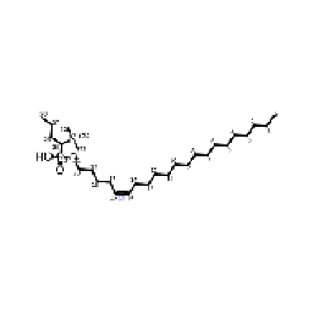 CCCCCCCCCCCCCCC/C=C\CCCCOP(=O)(O)C(CCC)[N+](C)(C)C